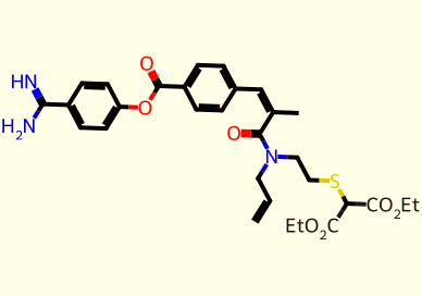 C=CCN(CCSC(C(=O)OCC)C(=O)OCC)C(=O)C(C)=Cc1ccc(C(=O)Oc2ccc(C(=N)N)cc2)cc1